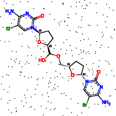 Nc1nc(=O)n([C@H]2CC[C@@H](C(O)O[CH][C@@H]3CC[C@H](n4cc(Br)c(N)nc4=O)O3)O2)cc1Cl